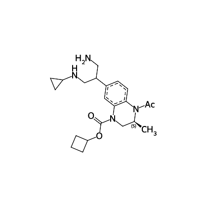 CC(=O)N1c2ccc(C(CN)CNC3CC3)cc2N(C(=O)OC2CCC2)C[C@@H]1C